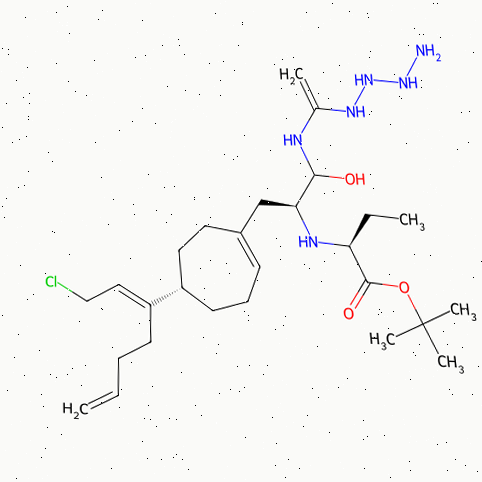 C=CCC/C(=C\CCl)[C@H]1CCC=C(C[C@H](N[C@@H](CC)C(=O)OC(C)(C)C)C(O)NC(=C)NNNN)CC1